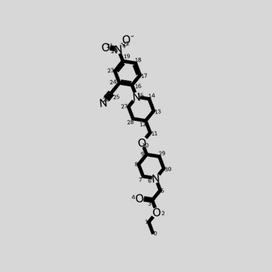 CCOC(=O)CN1CCC(OCC2CCN(c3ccc([N+](=O)[O-])cc3C#N)CC2)CC1